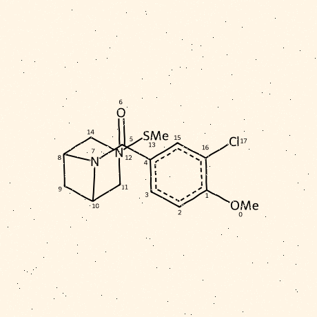 COc1ccc(C(=O)N2C3CC2CN(SC)C3)cc1Cl